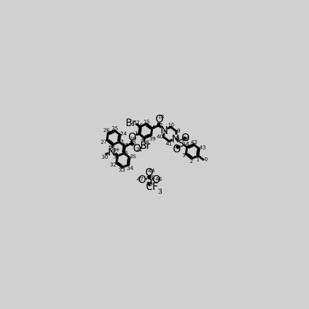 Cc1ccc(S(=O)(=O)N2CCN(C(=O)c3cc(Br)c(OC(=O)c4c5ccccc5[n+](C)c5ccccc45)c(Br)c3)CC2)cc1.O=S(=O)([O-])C(F)(F)F